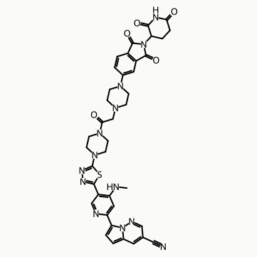 CNc1cc(-c2ccc3cc(C#N)cnn23)ncc1-c1nnc(N2CCN(C(=O)CN3CCN(c4ccc5c(c4)C(=O)N(C4CCC(=O)NC4=O)C5=O)CC3)CC2)s1